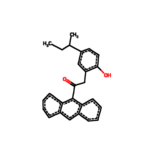 CCC(C)c1ccc(O)c(CC(=O)c2c3ccccc3cc3ccccc23)c1